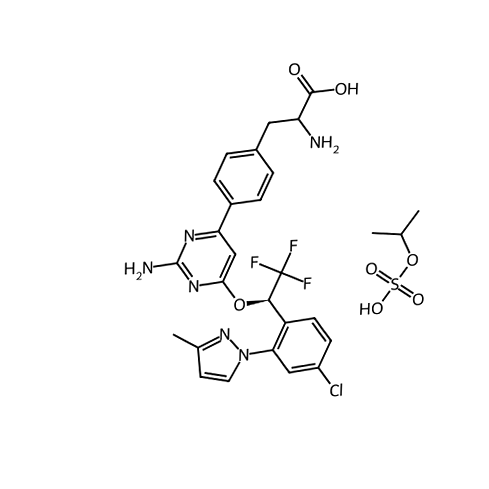 CC(C)OS(=O)(=O)O.Cc1ccn(-c2cc(Cl)ccc2[C@@H](Oc2cc(-c3ccc(CC(N)C(=O)O)cc3)nc(N)n2)C(F)(F)F)n1